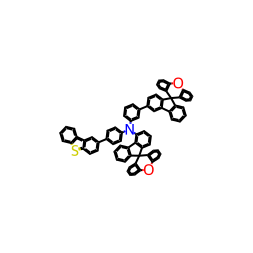 c1cc(-c2ccc3c(c2)-c2ccccc2C32c3ccccc3Oc3ccccc32)cc(N(c2ccc(-c3ccc4sc5ccccc5c4c3)cc2)c2cccc3c2-c2ccccc2C32c3ccccc3Oc3ccccc32)c1